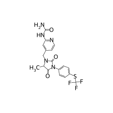 CC1C(=O)N(c2ccc(SC(F)(F)F)cc2)C(=O)N1Cc1ccnc(NC(N)=O)c1